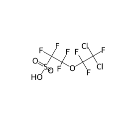 O=S(=O)(O)C(F)(F)C(F)(F)OC(F)(F)C(F)(Cl)Cl